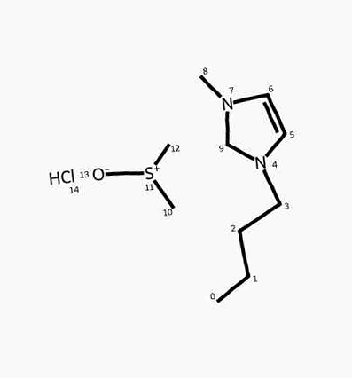 CCCCN1C=CN(C)C1.C[S+](C)[O-].Cl